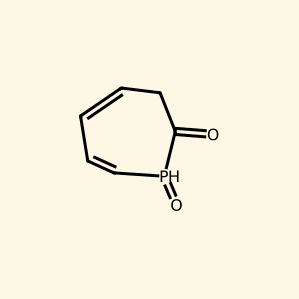 O=C1CC=CC=C[PH]1=O